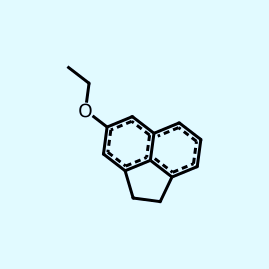 CCOc1cc2c3c(cccc3c1)CC2